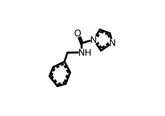 O=C(NCc1ccccc1)n1ccnc1